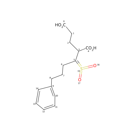 O=C(O)CCC(C(=O)O)C(CCCc1ccccc1)=S(=O)=O